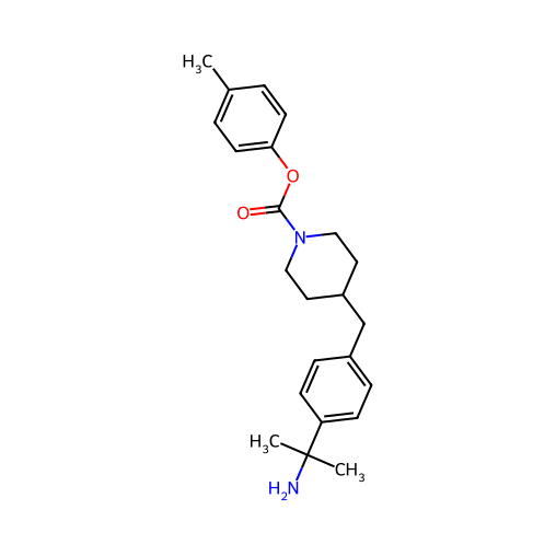 Cc1ccc(OC(=O)N2CCC(Cc3ccc(C(C)(C)N)cc3)CC2)cc1